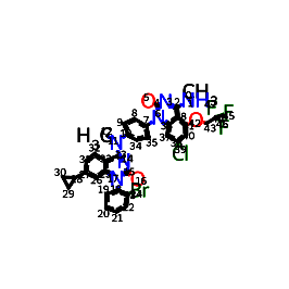 CNc1nc(=O)n(-c2ccc(N(C)c3nc(=O)n(-c4ccccc4Br)c4cc(C5CC5)ccc34)cc2)c2cc(Cl)cc(OCC(F)(F)F)c12